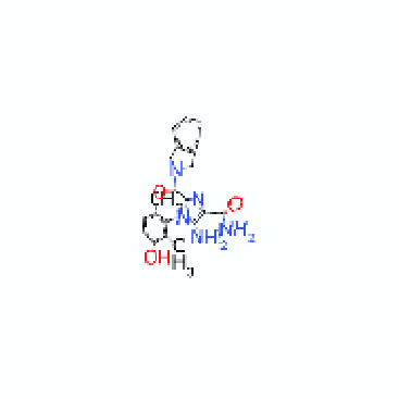 Cc1ccc(O)c(C)c1-n1c(C(=O)N2Cc3ccccc3C2)nc(C(N)=O)c1N